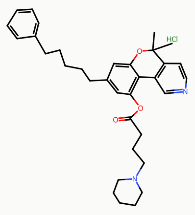 CC1(C)Oc2cc(CCCCCc3ccccc3)cc(OC(=O)CCCN3CCCCC3)c2-c2cnccc21.Cl